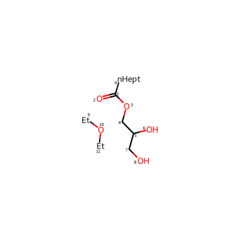 CCCCCCCC(=O)OCC(O)CO.CCOCC